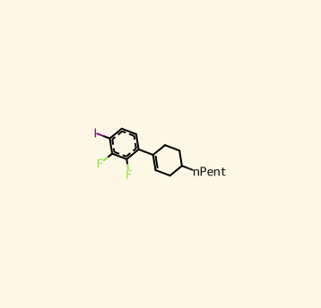 CCCCCC1CC=C(c2ccc(I)c(F)c2F)CC1